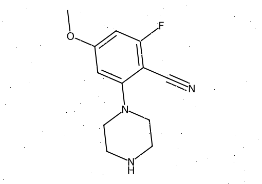 COc1cc(F)c(C#N)c(N2CCNCC2)c1